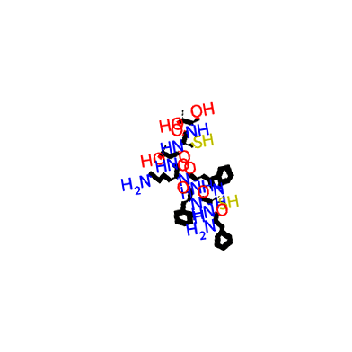 C[C@@H](O)[C@H](NC(=O)[C@H](CCCCN)NC(=O)[C@@H](Cc1c[nH]c2ccccc12)NC(=O)[C@H](Cc1ccccc1)NC(=O)[C@H](CS)NC(=O)[C@H](N)Cc1ccccc1)C(=O)N[C@@H](CS)C(=O)N[C@H](CO)[C@@H](C)O